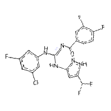 O=C(/N=C(/Nc1cc(F)cc(Cl)c1)Nc1cc(C(F)F)[nH]n1)c1ccc(F)c(F)c1